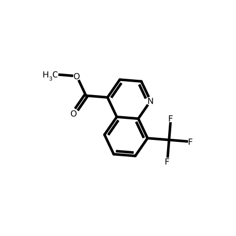 COC(=O)c1ccnc2c(C(F)(F)F)cccc12